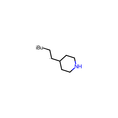 CCC(C)C[CH]C1CCNCC1